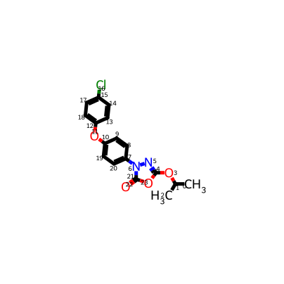 CC(C)Oc1nn(-c2ccc(Oc3ccc(Cl)cc3)cc2)c(=O)o1